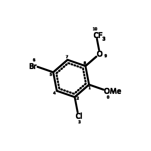 COc1c(Cl)cc(Br)cc1OC(F)(F)F